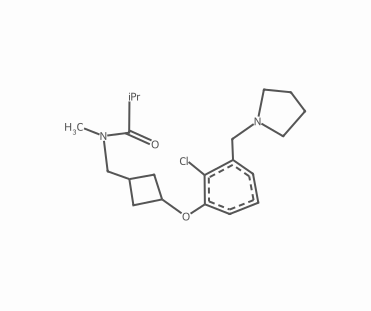 CC(C)C(=O)N(C)CC1CC(Oc2cccc(CN3CCCC3)c2Cl)C1